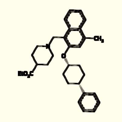 CCOC(=O)C1CCN(Cc2c(O[C@H]3CC[C@@H](c4ccccc4)CC3)cc(C)c3ccccc23)CC1